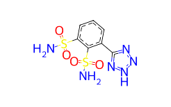 NS(=O)(=O)c1cccc(-c2nn[nH]n2)c1S(N)(=O)=O